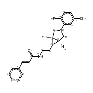 O=C(/C=C/c1cccnc1)NCCC1[C@H]2CN(c3cc(Cl)ccc3F)C[C@@H]12